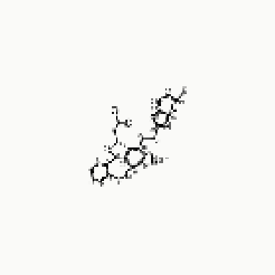 O=C([O-])CCSC1c2ccccc2COc2ccc(C=Cc3nc4cc(F)ccc4s3)cc21.[Na+]